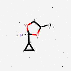 C[C@@H]1CO[C@](I)(C2CC2)O1